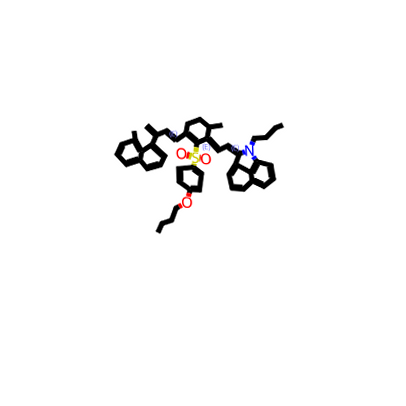 C=C(/C=C/C1=C(S(=O)(=O)c2ccc(OCCCC)cc2)C(=C/C=c2\c3cccc4cccc(c43)n2CCCC)/C(C)CC1)c1cccc2cccc(C)c12